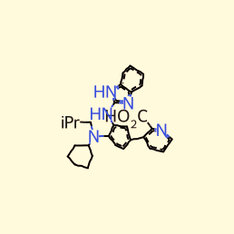 CC(C)CN(c1ccc(-c2cccnc2C(=O)O)cc1Nc1nc2ccccc2[nH]1)C1CCCCC1